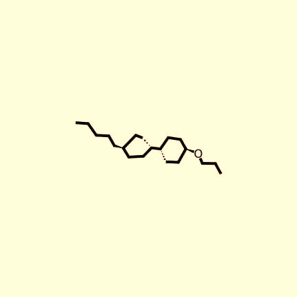 CCCCC[C@H]1CC[C@H]([C@H]2CC[C@H](OCCC)CC2)CC1